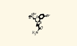 CC(C)(C)[Si](C)(C)OCC1Cn2cc(C(N)=O)nc2-c2cc(Br)ccc2O1